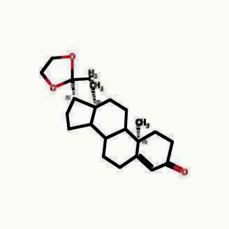 CC1([C@H]2CCC3C4CCC5=CC(=O)CC[C@]5(C)C4CC[C@@]32C)OCCO1